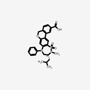 CC(C)C[C@@H]1CN(c2ccccc2)c2cc3c(cc2S(=O)(=O)N1C)-c1cc(C(=O)O)ccc1CO3